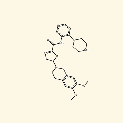 COc1cc2c(cc1OC)CN(C1CN=C(C(=O)Nc3cnccc3N3CCNCC3)O1)CC2